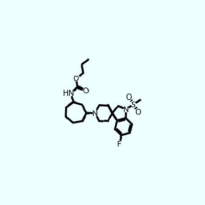 CCCOC(=O)NC1CCCCC(N2CCC3(CC2)CN(S(C)(=O)=O)c2ccc(F)cc23)C1